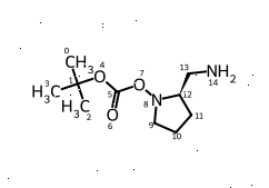 CC(C)(C)OC(=O)ON1CCC[C@@H]1CN